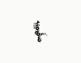 NCOc1cc2c(Oc3ccc(NC(=O)NC4CC4)c(F)c3)ccnc2cc1OCc1ccccn1